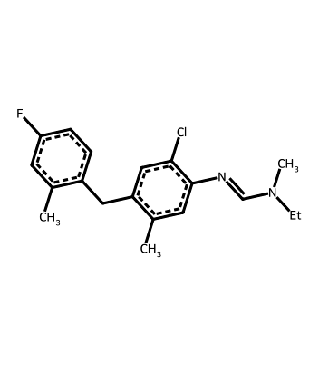 CCN(C)C=Nc1cc(C)c(Cc2ccc(F)cc2C)cc1Cl